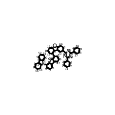 C1=Cc2c(n(-c3cccc4c3sc3c(-c5cccc6oc7c(c56)=CC(c5nc(-c6ccccc6)nc(-c6ccccc6)n5)CC=7)cccc34)c3ccccc23)CC1